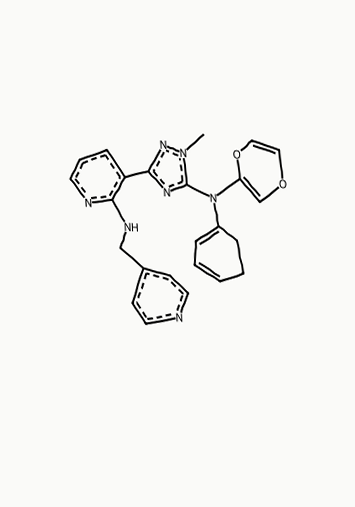 Cn1nc(-c2cccnc2NCc2ccncc2)nc1N(C1=CC=CCC1)C1=COC=CO1